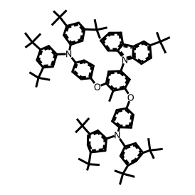 Cc1c(Oc2ccc(N(c3cc(C(C)(C)C)cc(C(C)(C)C)c3)c3cc(C(C)(C)C)cc(C(C)(C)C)c3)cc2)cc(-n2c3ccccc3c3cc(C(C)(C)C)ccc32)cc1Oc1ccc(N(c2cc(C(C)(C)C)cc(C(C)(C)C)c2)c2cc(C(C)(C)C)cc(C(C)(C)C)c2)cc1